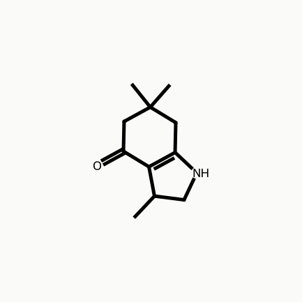 CC1CNC2=C1C(=O)CC(C)(C)C2